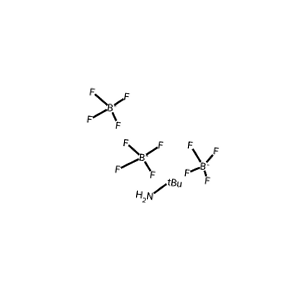 CC(C)(C)N.F[B-](F)(F)F.F[B-](F)(F)F.F[B-](F)(F)F